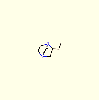 CCC1CN2CCN1CC2